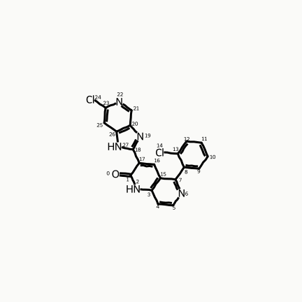 O=c1[nH]c2ccnc(-c3ccccc3Cl)c2cc1-c1nc2cnc(Cl)cc2[nH]1